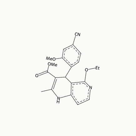 CCOc1nccc2c1C(c1ccc(C#N)cc1OC)C(C(=O)OC)=C(C)N2